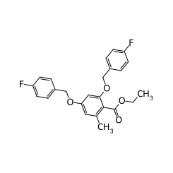 CCOC(=O)c1c(C)cc(OCc2ccc(F)cc2)cc1OCc1ccc(F)cc1